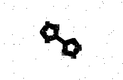 c1nc(-c2csnn2)ns1